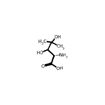 CC(C)(O)C(O)[C@H](N)C(=O)O